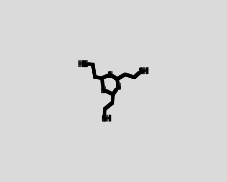 SCCC1SC(CCS)SC(CCS)S1